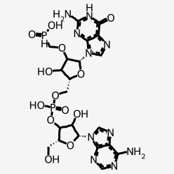 Nc1nc2c(ncn2[C@@H]2O[C@H](COP(=O)(O)OC3C(O)[C@H](n4cnc5c(N)ncnc54)O[C@@H]3CO)C(O)C2OC[PH](=O)O)c(=O)[nH]1